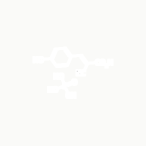 N#C/C(=C\c1ccc(O)cc1)C(=O)O.O=P(O)(O)O